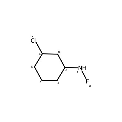 FNC1CCCC(Cl)C1